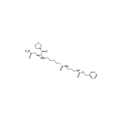 NC(=O)CC[C@H](NCCCCCC(=O)NCCCNC(=O)OCc1ccccc1)C(=O)N1CCCC1